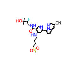 CC(C)(O)C(F)CNC(=O)c1cnc(-c2ccc3cc(C#N)cnn23)cc1NCCCCS(C)(=O)=O